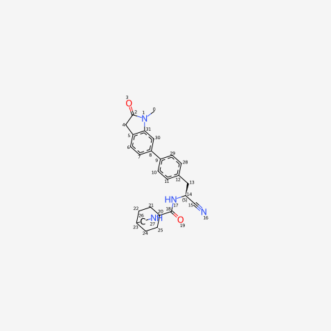 CN1C(=O)Cc2ccc(-c3ccc(C[C@@H](C#N)NC(=O)C45CCC(CC4)CN5)cc3)cc21